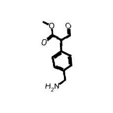 COC(=O)C(C=O)c1ccc(CN)cc1